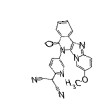 COc1ccc2nc3c4ccccc4c(=O)n(-c4ccc(C(C#N)C#N)nc4)c3n2c1